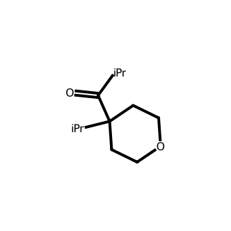 CC(C)C(=O)C1(C(C)C)CCOCC1